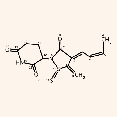 C=C1/C(=C\C=C/C)C(=O)N(C2CCC(=O)NC2=O)S1=S